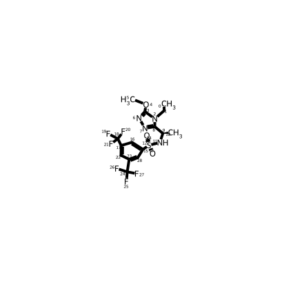 CCn1c(OC)nnc1[C@@H](C)NS(=O)(=O)c1cc(C(F)(F)F)cc(C(F)(F)F)c1